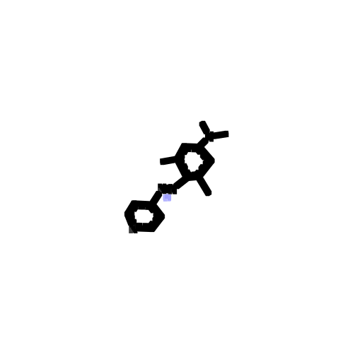 Cc1cc(N(C)C)cc(C)c1/N=N/c1ccncc1